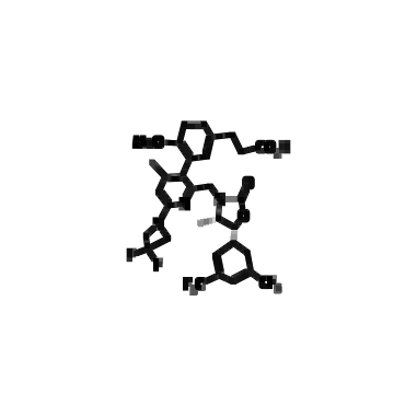 COc1ccc(CCC(=O)O)cc1-c1c(C)cc(N2CC(F)(F)C2)nc1CN1C(=O)O[C@H](C2C=C(C(F)(F)F)C=C(C(F)(F)F)C2)[C@@H]1C